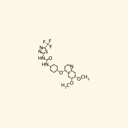 COc1cc2nccc(Oc3ccc(NC(=O)Nc4nnc(C(F)(F)F)s4)cc3)c2cc1OC